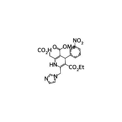 CCOC(=O)C1=C(Cn2ccnc2)NC(CC(=O)O)=C(C(=O)OC)C1c1cccc([N+](=O)[O-])c1